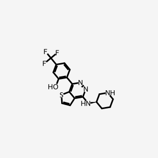 Oc1cc(C(F)(F)F)ccc1-c1nnc(N[C@@H]2CCCNC2)c2ccsc12